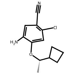 C[C@H](Oc1cc(Cl)c(C#N)cc1N)C1CCC1